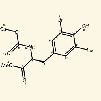 COC(=O)[C@H](Cc1cc(Br)c(O)c(I)c1)NC(=O)OC(C)(C)C